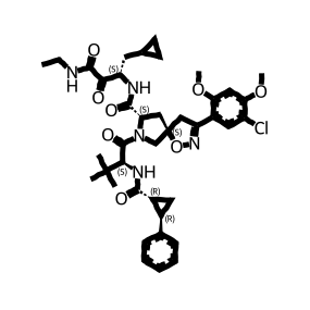 CCNC(=O)C(=O)[C@H](CC1CC1)NC(=O)[C@@H]1C[C@]2(CC(c3cc(Cl)c(OC)cc3OC)=NO2)CN1C(=O)[C@@H](NC(=O)[C@@H]1C[C@H]1c1ccccc1)C(C)(C)C